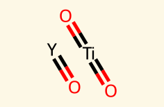 [O]=[Ti]=[O].[O]=[Y]